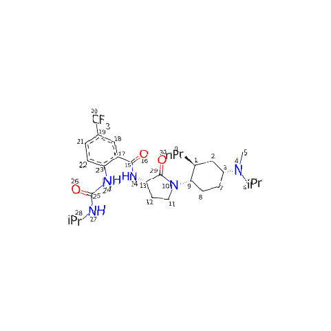 CCC[C@H]1C[C@H](N(C)C(C)C)CC[C@@H]1N1CC[C@H](NC(=O)c2cc(C(F)(F)F)ccc2NC(=O)NC(C)C)C1=O